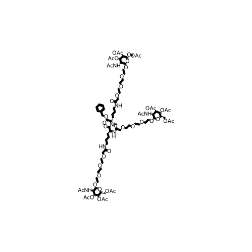 CC(=O)N[C@H]1[C@H](OCCOCCOCCOCC(=O)NCCCC[C@H](NC(=O)COCCOCCOCCO[C@@H]2O[C@H](COC(C)=O)[C@H](OC(C)=O)[C@H](OC(C)=O)[C@H]2NC(C)=O)C(=O)N[C@@H](CCCCNC(=O)COCCOCCOCCO[C@@H]2O[C@H](OOC(C)=O)[C@H](OC(C)=O)[C@H](OC(C)=O)[C@H]2NC(C)=O)C(=O)OCc2ccccc2)O[C@H](COC(C)=O)[C@H](OC(C)=O)[C@@H]1OC(C)=O